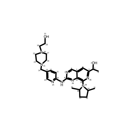 CC(O)c1cc2cnc(Nc3ccc(CN4CCN(CCO)CC4)cn3)nc2c(N2C(C)CCC2C)n1